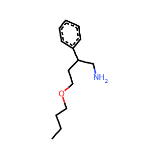 CCCCOCCC(CN)c1ccccc1